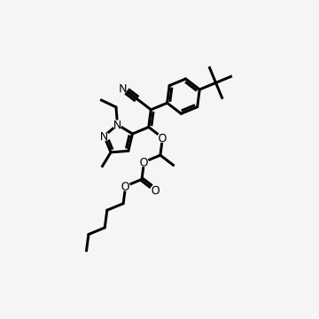 CCCCCOC(=O)OC(C)O/C(=C(/C#N)c1ccc(C(C)(C)C)cc1)c1cc(C)nn1CC